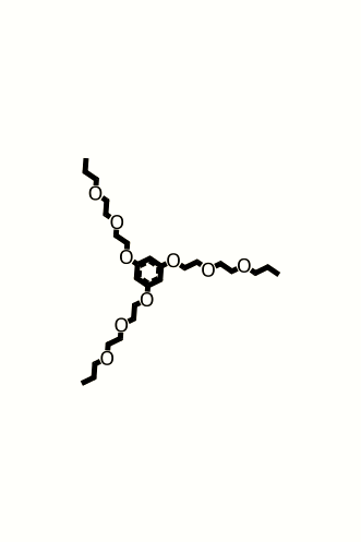 CCCOCCOCCOc1cc(OCCOCCOCCC)cc(OCCOCCOCCC)c1